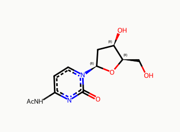 CC(=O)Nc1ccn([C@H]2C[C@@H](O)[C@@H](CO)O2)c(=O)n1